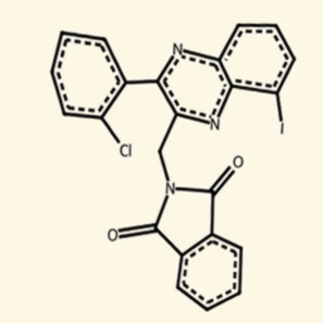 O=C1c2ccccc2C(=O)N1Cc1nc2c(I)cccc2nc1-c1ccccc1Cl